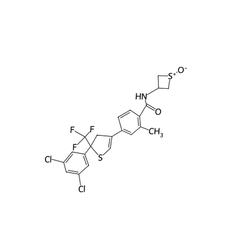 Cc1cc(C2=CSC(c3cc(Cl)cc(Cl)c3)(C(F)(F)F)C2)ccc1C(=O)NC1C[S+]([O-])C1